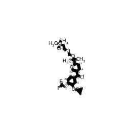 CC(C)(OCOCC[Si](C)(C)C)c1ccc(C(Cl)c2ccc(OC(F)F)c(OC3CC3)c2)cn1